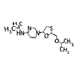 CC(C)NC1=NCN([C@H]2CS[C@@H](COC(C)C)O2)C=C1